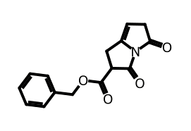 O=C(OCc1ccccc1)C1CC2=CCC(=O)N2C1=O